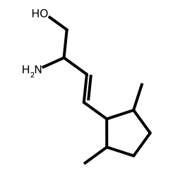 CC1CCC(C)C1/C=C/C(N)CO